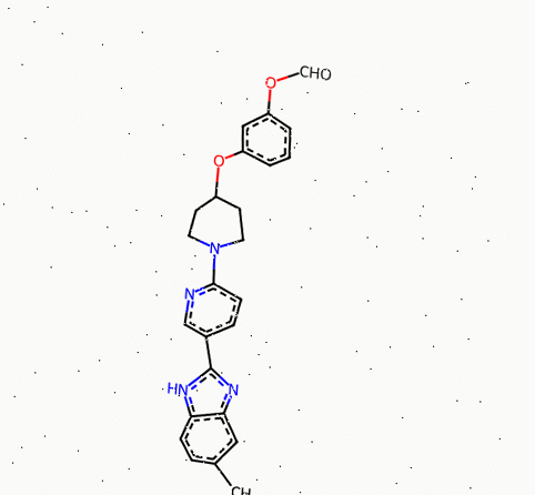 Cc1ccc2[nH]c(-c3ccc(N4CCC(Oc5cccc(OC=O)c5)CC4)nc3)nc2c1